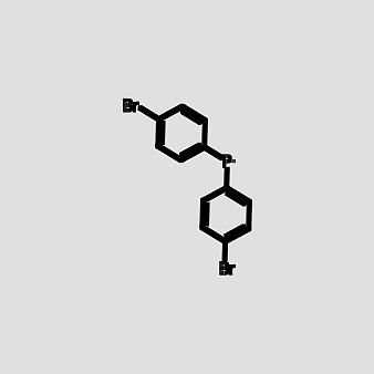 Brc1ccc([P]c2ccc(Br)cc2)cc1